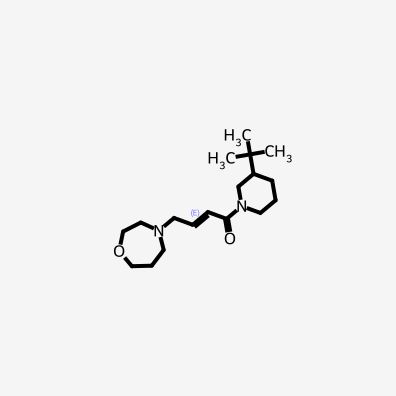 CC(C)(C)C1CCCN(C(=O)/C=C/CN2CCCOCC2)C1